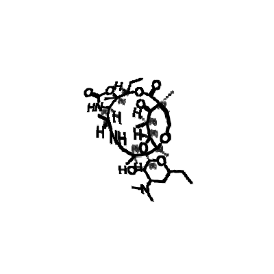 CCC1CC(N(C)C)C(O)[C@H](O[C@@H]2[C@@H](C)C(=O)[C@]3(C)CCO[C@@]2(C)C[C@@H](C)CN[C@H](C)[C@H]2NC(=O)O[C@]2(C)[C@@H](CC)OC3=O)O1